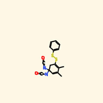 CC1=CC(N=C=O)(N=C=O)CC(SSc2ccccc2)=C1C